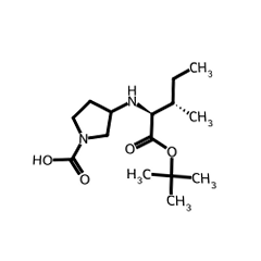 CC[C@H](C)[C@H](NC1CCN(C(=O)O)C1)C(=O)OC(C)(C)C